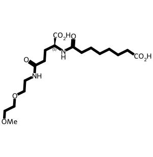 COCCOCCNC(=O)CC[C@H](NC(=O)CCCCCCC(=O)O)C(=O)O